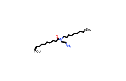 CCCCCCCC/C=C\CCCCCCCC(=O)N(CCN)CCCCCCCCCCCCCCCCCC